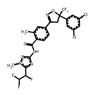 Cc1cc(C2=NOC(c3cc(Cl)cc(Cl)c3)(C(F)(F)F)C2)ccc1C(=O)Nc1nc(C(F)C(F)F)n(C)n1